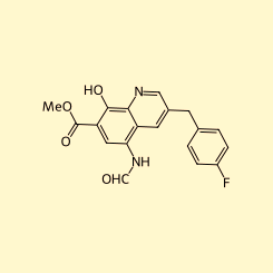 COC(=O)c1cc(NC=O)c2cc(Cc3ccc(F)cc3)cnc2c1O